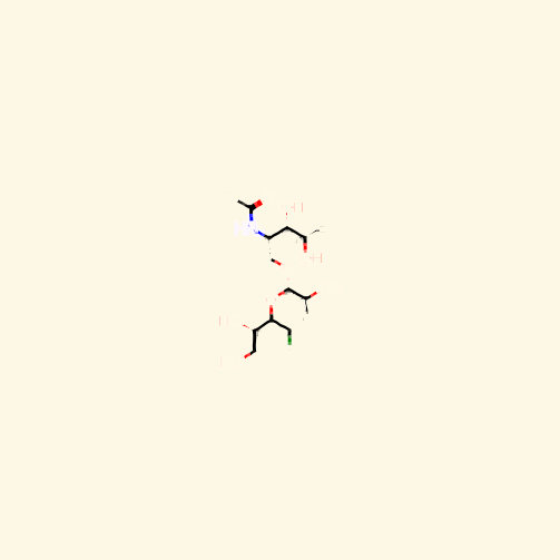 CCC(=O)N[C@@H](CO[C@@H](OC(CF)[C@H](O)CO)[C@H](C)O)[C@H](O)[C@H](O)CC